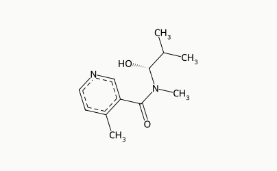 Cc1ccncc1C(=O)N(C)[C@H](O)C(C)C